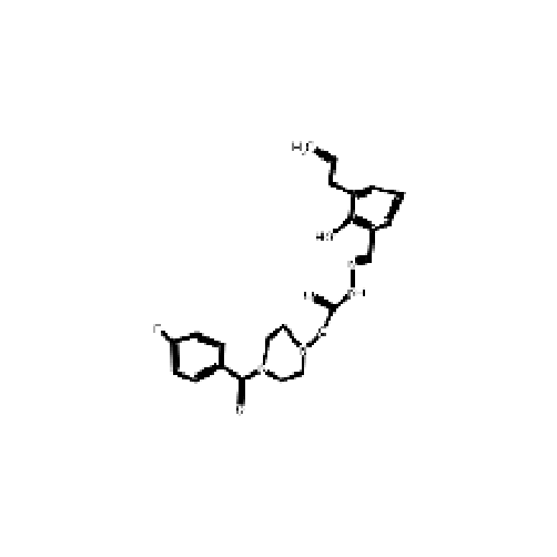 C=CCc1cccc(C=NNC(=O)CN2CCN(C(=O)c3ccc(F)cc3)CC2)c1O